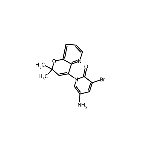 CC1(C)C=C(n2cc(N)cc(Br)c2=O)c2ncccc2O1